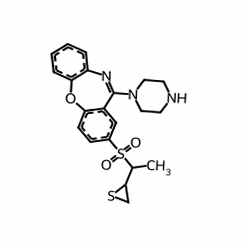 CC(C1CS1)S(=O)(=O)c1ccc2c(c1)C(N1CCNCC1)=Nc1ccccc1O2